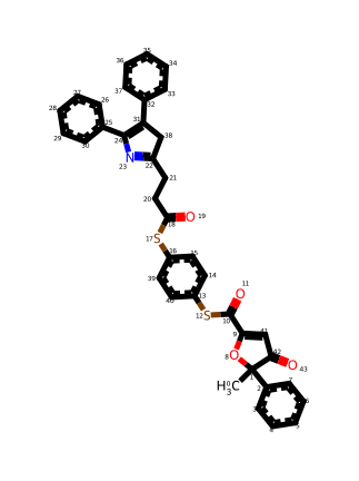 CC1(c2ccccc2)OC(C(=O)Sc2ccc(SC(=O)CCC3=NC(c4ccccc4)=C(c4ccccc4)C3)cc2)=CC1=O